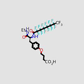 CCNC(=O)[C@H](Cc1ccc(OCCCC(=O)O)cc1)NC(=O)C(F)(F)C(F)(F)C(F)(F)C(F)(F)C(F)(F)C(F)(F)C(F)(F)F